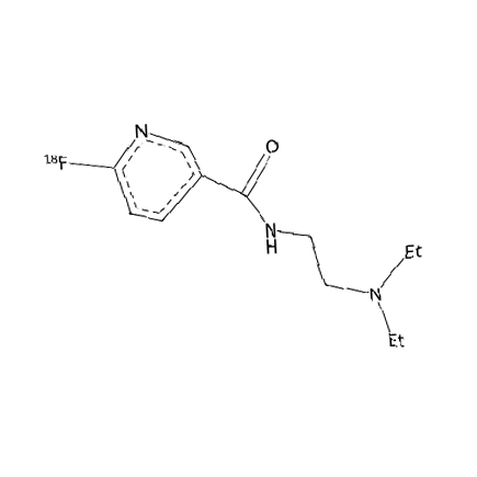 CCN(CC)CCNC(=O)c1ccc([18F])nc1